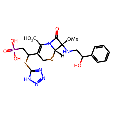 CO[C@]1(NCC(O)c2ccccc2)C(=O)N2C(C(=O)O)=C(C(CP(=O)(O)O)Sc3nnn[nH]3)CS[C@H]21